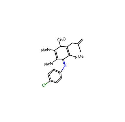 C=C(C)CC1=C(NC)C(=Nc2ccc(Cl)cc2)C(NC)=C(NC)C1C=O